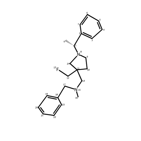 C[C@H](c1ccccc1)N1CCC(CF)(CN(C)Cc2ccccc2)C1